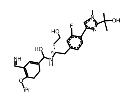 CC(C)OC1=C(C=N)C=C(C(O)N[C@H](CCO)Cc2ccc(-c3cn(C)c(C(C)(C)O)n3)c(F)c2)CC1